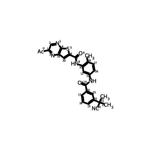 CC(=O)c1cnc2sc(C(=O)Nc3cc(NC(=O)c4cccc(C(C)(C)C#N)c4)ccc3C)cc2n1